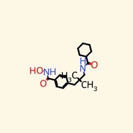 CC(C)(CNC(=O)C1CCCCC1)Cc1ccc(C(=O)NO)cc1